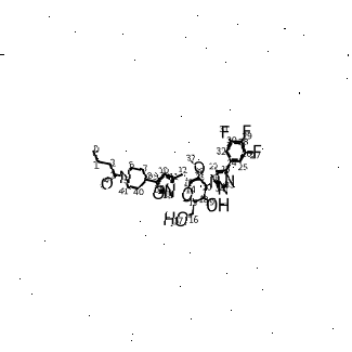 CCCC(=O)N1CCC(c2cc(C[C@H]3O[C@H](CO)[C@H](O)[C@H](n4cc(-c5cc(F)c(F)c(F)c5)nn4)[C@H]3OC)no2)CC1